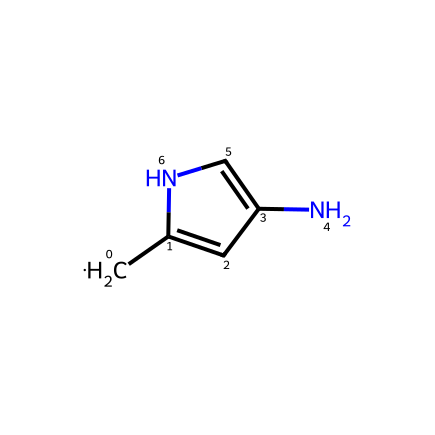 [CH2]c1cc(N)c[nH]1